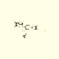 Cc1nc(N2CCC(NC(=O)c3[nH]c(C)c(Cl)c3Cl)C(OCC3CC3)C2)sc1C(=O)O